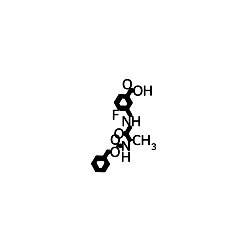 C[C@H](NC(=O)OCc1ccccc1)C(=O)CNCc1cc(C(=O)O)ccc1F